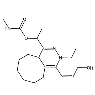 CCN1N=C(C(C)OC(=O)NC)C2CCCCCCC2=C1/C=C\CO